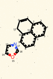 C1=Cc2cccc3cccc(c23)C1.c1cocn1